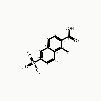 Cc1c(C(=O)O)ccc2cc(S(=O)(=O)Cl)ccc12